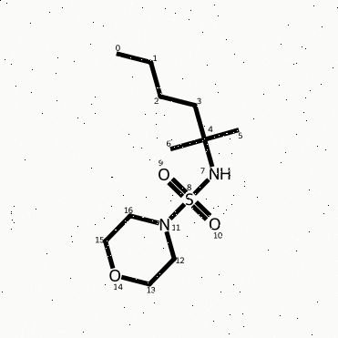 CCCCC(C)(C)NS(=O)(=O)N1CCOCC1